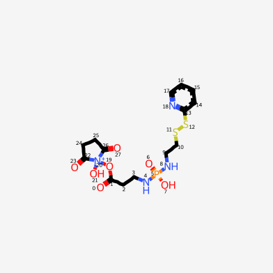 O=C(CCNP(=O)(O)NCCSSc1ccccn1)O[N+]1(O)C(=O)CCC1=O